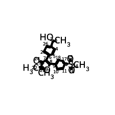 CC(O)c1ccc(C2=C(c3ccc(S(C)(=O)=O)cc3)OC(C)(C)C2=O)cc1